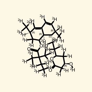 [2H]O[C@H]1C([2H])([2H])C(=O)OC(C([2H])([2H])C([2H])([2H])[C@H]2[C@@]([2H])(C([2H])([2H])[2H])C([2H])=C([2H])C3=C([2H])[C@]([2H])(C([2H])([2H])[2H])C([2H])([2H])C(OC(=O)C(C([2H])([2H])[2H])(C([2H])([2H])[2H])C([2H])([2H])C([2H])([2H])[2H])[C@@]32[2H])C1([2H])[2H]